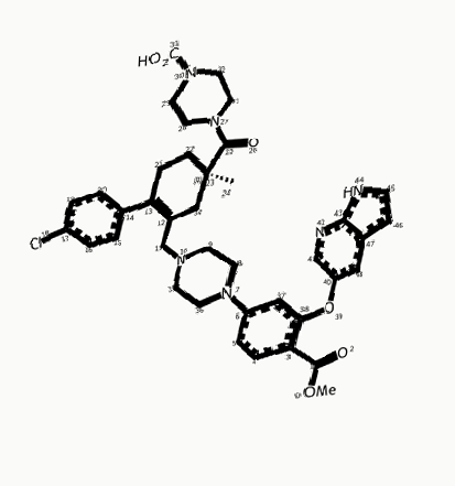 COC(=O)c1ccc(N2CCN(CC3=C(c4ccc(Cl)cc4)CC[C@@](C)(C(=O)N4CCN(C(=O)O)CC4)C3)CC2)cc1Oc1cnc2[nH]ccc2c1